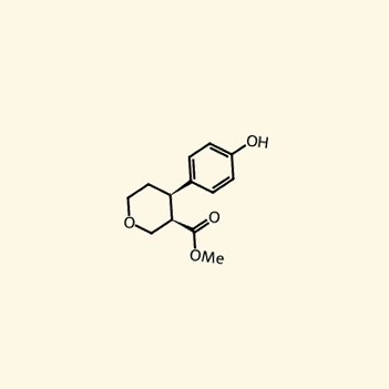 COC(=O)[C@H]1COCC[C@H]1c1ccc(O)cc1